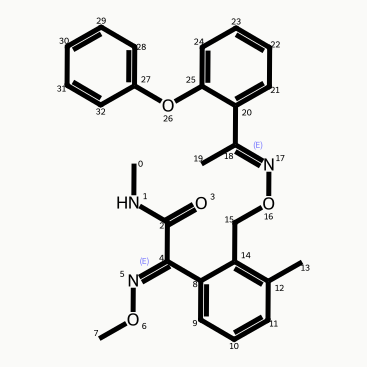 CNC(=O)/C(=N/OC)c1cccc(C)c1CO/N=C(\C)c1ccccc1Oc1ccccc1